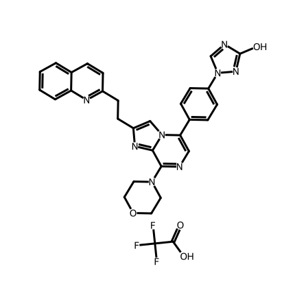 O=C(O)C(F)(F)F.Oc1ncn(-c2ccc(-c3cnc(N4CCOCC4)c4nc(CCc5ccc6ccccc6n5)cn34)cc2)n1